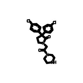 O=C(CN1CCC(c2ccc(Cl)cc2)(c2ccc(Cl)cc2)C1=O)N1CCNCC1